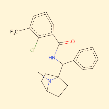 CN1C2CCC1(C(NC(=O)c1cccc(C(F)(F)F)c1Cl)c1ccccc1)CC2